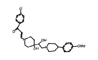 COc1ccc(C2CCN(CC(O)C3(O)CCN(C=CC(=O)c4ccc(Cl)cc4)CC3)CC2)cc1